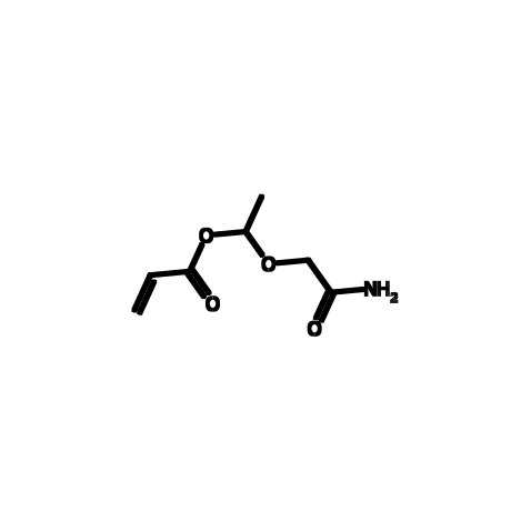 C=CC(=O)OC(C)OCC(N)=O